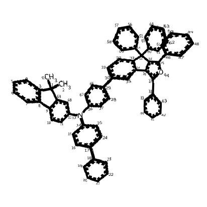 CC1(C)c2ccccc2-c2ccc(N(c3ccc(-c4ccccc4)cc3)c3ccc(-c4ccc5c(c4)-c4c(-c6ccccc6)oc(-c6ccccc6)c4C5(c4ccccc4)c4ccccc4)cc3)cc21